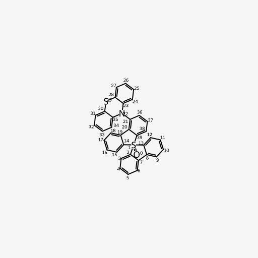 O=S12(c3ccccc3-c3ccccc31)c1ccccc1-c1c(N3c4ccccc4Sc4ccccc43)cccc12